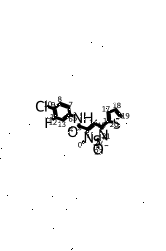 CN1C(C(=O)Nc2ccc(Cl)c(F)c2)=CC(c2cccs2)=N[S+]1[O-]